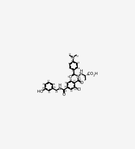 C[C@H](NN(C(=O)c1ccc(N(C)C)cc1)C(=O)c1ccc(C(=O)NCc2cccc(O)c2)cc1Cl)C(=O)O